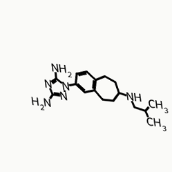 CC(C)CNC1CCc2ccc(-n3nc(N)nc3N)cc2CC1